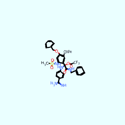 COc1cc(C(Nc2ccc(C(=N)N)cc2)(OC(=O)C(F)(F)F)C(=O)NCc2ccccc2)c(NS(C)(=O)=O)cc1OCc1ccccc1